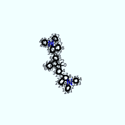 CC1(C)c2cc(-c3ccc(N(c4ccccc4)c4ccccc4)c4ccccc34)ccc2-c2c1c1ccc(-c3ccc(N(c4ccccc4)c4ccccc4)c4ccccc34)cc1c1ccccc21